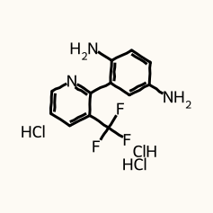 Cl.Cl.Cl.Nc1ccc(N)c(-c2ncccc2C(F)(F)F)c1